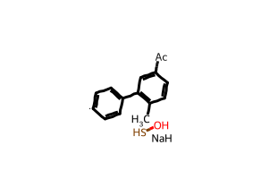 CC(=O)c1ccc(C)c(-c2cc[c]cc2)c1.OS.[NaH]